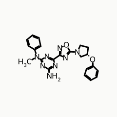 CN(c1ccccc1)c1nc(N)nc(-c2noc(N3CC[C@H](Oc4ccccc4)C3)n2)n1